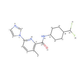 Cc1ccc(-n2ccnc2)nc1C(=O)NC1CCC(C(F)F)CC1